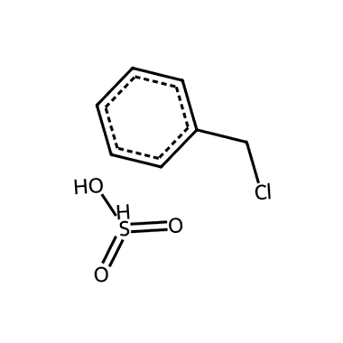 ClCc1ccccc1.O=[SH](=O)O